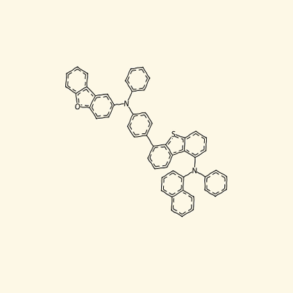 c1ccc(N(c2ccc(-c3cccc4c3sc3cccc(N(c5ccccc5)c5cccc6ccccc56)c34)cc2)c2ccc3oc4ccccc4c3c2)cc1